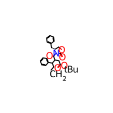 C=CCC(c1ccccc1)C(CC(=O)OC(C)(C)C)C(=O)N1C(=O)OC[C@@H]1Cc1ccccc1